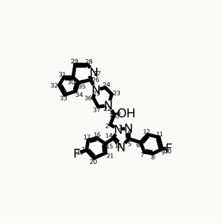 O[C@@H](Cn1nc(-c2ccc(F)cc2)nc1-c1ccc(F)cc1)N1CCN(c2nccc3ccccc23)CC1